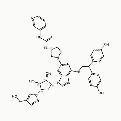 O=C(Nc1cccnc1)N[C@@H]1CCN(c2nc(NCC(c3ccc(O)cc3)c3ccc(O)cc3)c3ncn([C@@H]4C[C@H](n5ncc(CO)n5)[C@@H](O)[C@H]4O)c3n2)C1